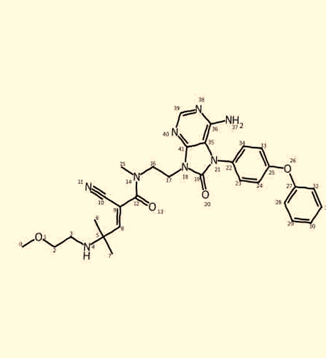 COCCNC(C)(C)/C=C(\C#N)C(=O)N(C)CCn1c(=O)n(-c2ccc(Oc3ccccc3)cc2)c2c(N)ncnc21